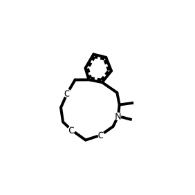 CC1Cc2ccccc2CCCCCCCCN1C